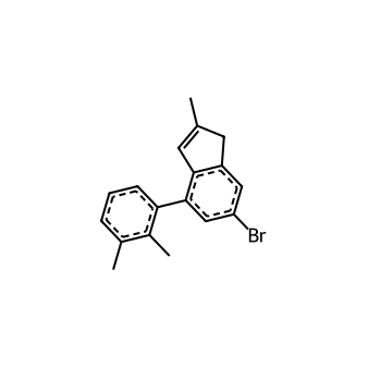 CC1=Cc2c(cc(Br)cc2-c2cccc(C)c2C)C1